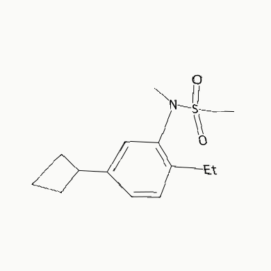 CCc1ccc(C2CCC2)cc1N(C)S(C)(=O)=O